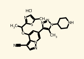 Cc1cnc(C(C)Oc2cc(-c3nnn(C4CCNCC4)c3C)cn3ncc(C#N)c23)s1.Cl